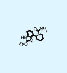 CCOc1nc2c(C3CCCCN3C(N)=O)cccc2[nH]1